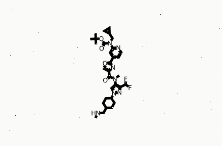 CNCC1CCC(n2cc(N(C)C(=O)c3coc(-c4ccnc(N(CC5CC5)C(=O)OC(C)(C)C)c4)n3)c(C(F)F)n2)CC1